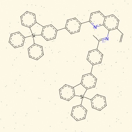 C=Cc1ccc2ccc(-c3ccc(-c4ccc5c(c4)-c4ccccc4[Si]5(c4ccccc4)c4ccccc4)cc3)nc2c1/N=C(\C)c1ccc(-c2ccc3c(c2)-c2ccccc2[Si]3(c2ccccc2)c2ccccc2)cc1